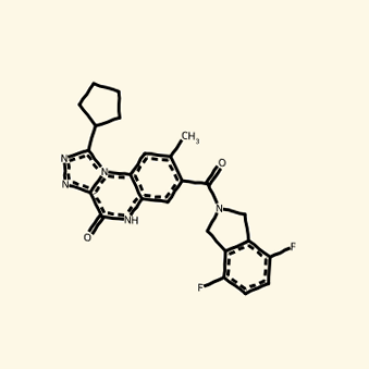 Cc1cc2c(cc1C(=O)N1Cc3c(F)ccc(F)c3C1)[nH]c(=O)c1nnc(C3CCCC3)n12